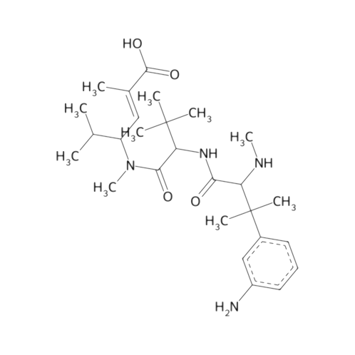 CNC(C(=O)NC(C(=O)N(C)C(C=C(C)C(=O)O)C(C)C)C(C)(C)C)C(C)(C)c1cccc(N)c1